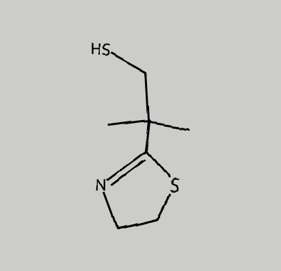 CC(C)(CS)C1=NCCS1